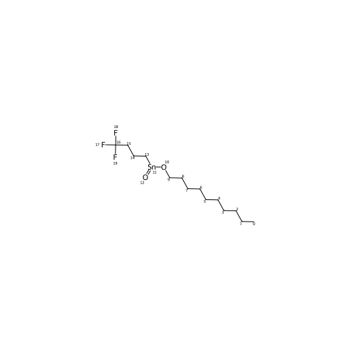 CCCCCCCCCC[O][Sn](=[O])[CH2]CCC(F)(F)F